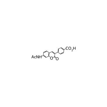 CC(=O)Nc1ccc2cc(-c3ccc(C(=O)O)cc3)c(=O)oc2c1